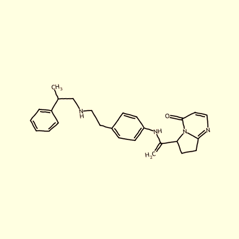 C=C(Nc1ccc(CCNCC(C)c2ccccc2)cc1)C1CCc2nccc(=O)n21